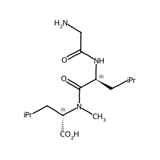 CC(C)C[C@H](NC(=O)CN)C(=O)N(C)[C@@H](CC(C)C)C(=O)O